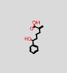 C=C(CCCC(O)c1ccccc1)C(=O)O